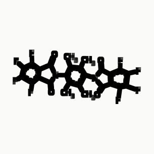 Cc1c(C)c(N2C(=O)c3c(F)c(F)c(F)c(F)c3C2=O)c(C)c(C)c1N1C(=O)c2c(F)c(F)c(F)c(F)c2C1=O